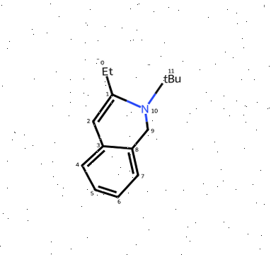 CCC1=Cc2ccccc2CN1C(C)(C)C